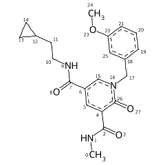 CNC(=O)c1cc(C(=O)NCCC2CC2)cn(Cc2cccc(OC)c2)c1=O